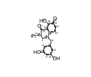 CC(C)N1CN(Cc2cc(O)cc(O)c2)n2ccc(=O)c(O)c2C1=O